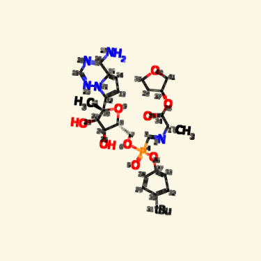 C[C@H](/N=C/P(=O)(OC[C@H]1O[C@@](C)(c2ccc3c(N)ncnn23)[C@H](O)[C@@H]1O)Oc1ccc(C(C)(C)C)cc1)C(=O)O[C@H]1CCOC1